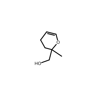 CC1(CO)CCC=CO1